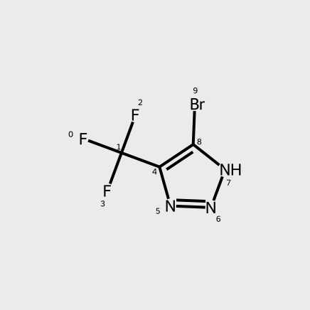 FC(F)(F)c1nn[nH]c1Br